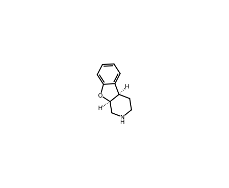 c1ccc2c(c1)O[C@@H]1CNCC[C@H]21